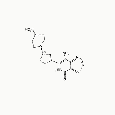 O=C(O)N1CCN([C@H]2C=C(c3[nH]c(=O)c4cccnc4c3[N+](=O)[O-])CC2)CC1